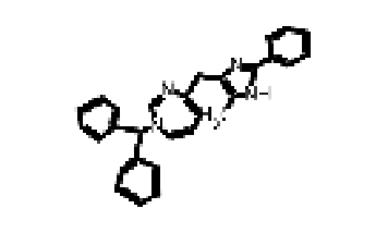 Cc1[nH]c(-c2ccccc2)nc1CC1=CC=CN(C(c2ccccc2)c2ccccc2)C=N1